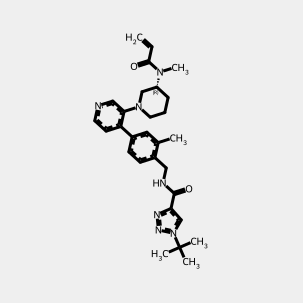 C=CC(=O)N(C)[C@@H]1CCCN(c2cnccc2-c2ccc(CNC(=O)c3cn(C(C)(C)C)nn3)c(C)c2)C1